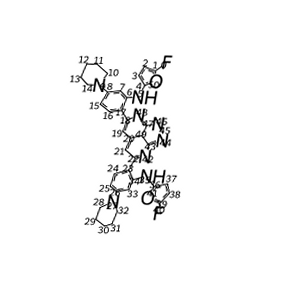 Fc1ccc(Nc2cc(N3CCCCC3)ccc2C2=CC3=CC(c4ccc(N5CCCCC5)cc4Nc4ccc(F)o4)=NC4=NC=NC(=N2)C34)o1